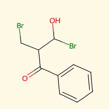 O=C(c1ccccc1)C(CBr)C(O)Br